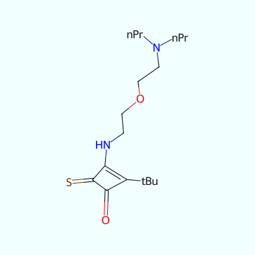 CCCN(CCC)CCOCCNc1c(C(C)(C)C)c(=O)c1=S